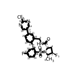 C[C@H]1[C@H](F)C[C@@H](C(=O)NCc2cc(-c3cnc(C(F)(F)F)nc3)ccc2F)N1S(=O)(=O)c1ccc(F)cc1